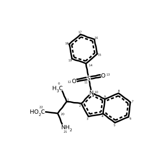 CC(c1cc2ccccc2n1S(=O)(=O)c1ccccc1)C(N)C(=O)O